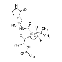 CCCC(NC(=O)C(F)(F)F)C(=O)N1C[C@H]2[C@@H]([C@H]1C(=O)N[C@H](C#N)C[C@@H]1CCNC1=O)C2(C)C